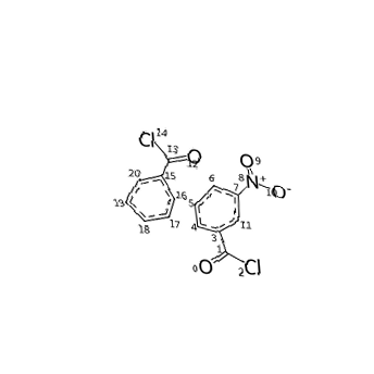 O=C(Cl)c1cccc([N+](=O)[O-])c1.O=C(Cl)c1ccccc1